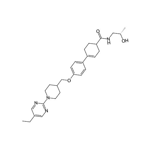 CCc1cnc(N2CCC(COc3ccc(C4=CCC(C(=O)NC[C@H](C)O)CC4)cc3)CC2)nc1